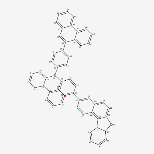 C1=CCC(c2ccccc2)C(N(c2ccc(-c3ccc4c5c(ccc4c3)OC3C=CC=CC53)cc2)c2ccc(-c3cc4ccccc4c4ccccc34)cc2)=C1